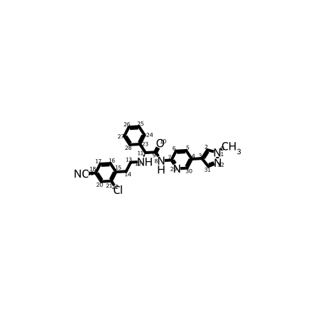 Cn1cc(-c2ccc(NC(=O)[C@H](NCCc3ccc(C#N)cc3Cl)c3ccccc3)nc2)cn1